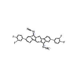 [C-]#[N+]/N=c1\c2cc(-c3ccc(F)c(F)c3)ccc2c2cc3/c(=N/C#N)c4cc(-c5ccc(F)c(F)c5)ccc4c3cc12